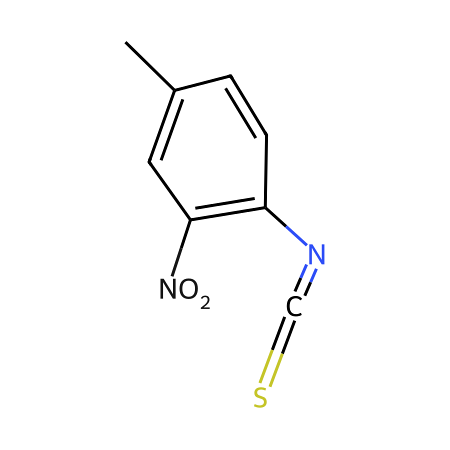 Cc1ccc(N=C=S)c([N+](=O)[O-])c1